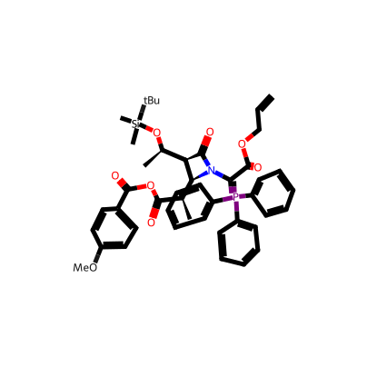 C=CCOC(=O)C(N1C(=O)[C@H]([C@@H](C)O[Si](C)(C)C(C)(C)C)[C@@H]1[C@@H](C)C(=O)OC(=O)c1ccc(OC)cc1)=P(c1ccccc1)(c1ccccc1)c1ccccc1